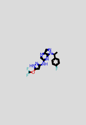 CC(c1ccc(F)cc1)n1ncc2ncc(Nc3cc(OC(F)F)[nH]n3)nc21